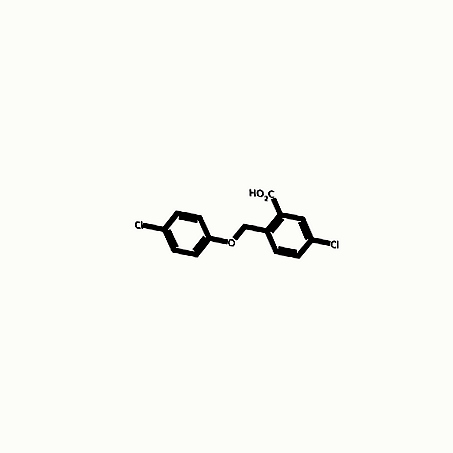 O=C(O)c1cc(Cl)ccc1COc1ccc(Cl)cc1